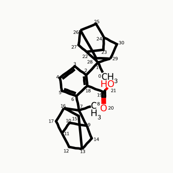 CC1(c2cccc(C3(C)C4CC5CC(C4)CC3C5)c2C(=O)O)C2CC3CC(C2)CC1C3